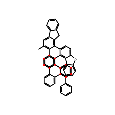 Cc1cc2c(c(-c3ccc4oc5ccccc5c4c3-c3ccccc3-c3nnnc(-c4ccccc4)c3-c3ccccc3-c3ccccc3-c3ccccc3)c1C)Cc1ccccc1-2